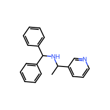 CC(NC(c1ccccc1)c1ccccc1)c1cccnc1